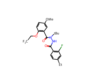 CCc1ccc(C(=O)NN(C(=O)c2cc(OC)ccc2OCC(F)(F)F)C(C)(C)C)c(F)c1